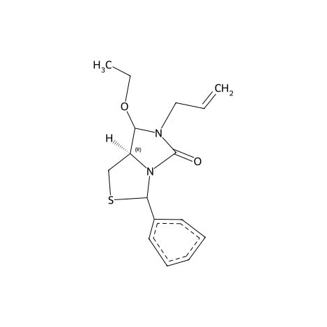 C=CCN1C(=O)N2C(c3ccccc3)SC[C@H]2C1OCC